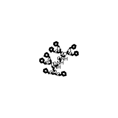 O=C(CNCC(=O)NC(COC(COCc1ccccc1)COCc1ccccc1)COC(COCc1ccccc1)COCc1ccccc1)NC(COC(COCc1ccccc1)COCc1ccccc1)COC(COCc1ccccc1)COCc1ccccc1